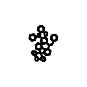 C(=C(/c1ccc2c(c1)Oc1ccccc1N2c1ccccc1)c1cccc2c1-c1ccccc1C21c2ccccc2Oc2ccccc21)/c1ccccc1